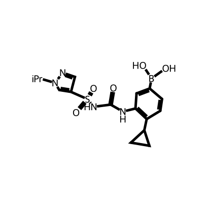 CC(C)n1cc(S(=O)(=O)NC(=O)Nc2cc(B(O)O)ccc2C2CC2)cn1